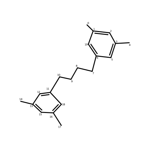 Cc1cc(C)cc(CCCCc2cc(C)cc(C)c2)c1